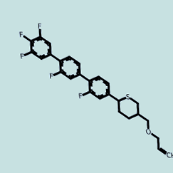 C=CCOCC1CCC(c2ccc(-c3ccc(-c4cc(F)c(F)c(F)c4)c(F)c3)c(F)c2)SC1